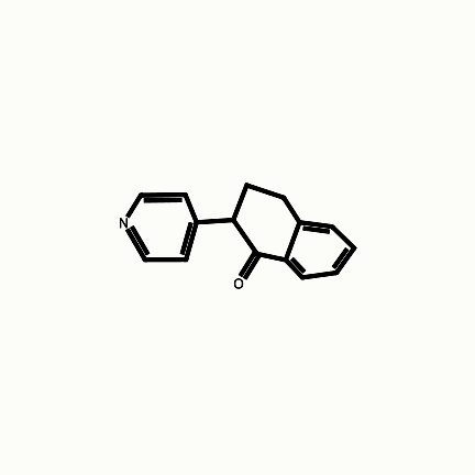 O=C1c2ccccc2CCC1c1ccncc1